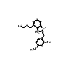 CC(=O)Nc1ccc(Cc2nc3cccc(CCCCl)c3[nH]2)c(F)c1